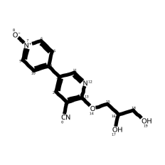 N#Cc1cc(-c2cc[n+]([O-])cc2)cnc1OCC(O)CO